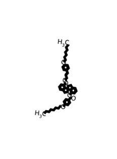 CCCCCCCCOc1ccc(/C=C/COOc2cccc3c2C2(CC3)CCc3cccc(OC(=O)c4ccc(OCCCCCCCC)cc4)c32)cc1